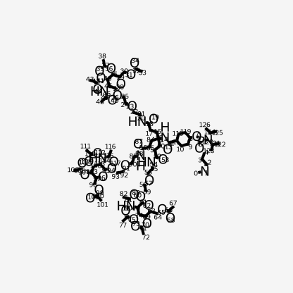 C/N=C\CCOP(OC1CCC(C(=O)NC(CCC(=O)NCCOCCOC2OC(COC(C)=O)C(OC(C)=O)C(OC(C)=O)C2NC(C)=O)(CCC(=O)NCCOCCOC2OC(COC(C)=O)C(OC(C)=O)C(OC(C)=O)C2NC(C)=O)CCC(=O)NCCOCCOC2OC(COC(C)=O)C(OC(C)=O)C(OC(C)=O)C2NC(C)=O)CC1)N(C(C)C)C(C)C